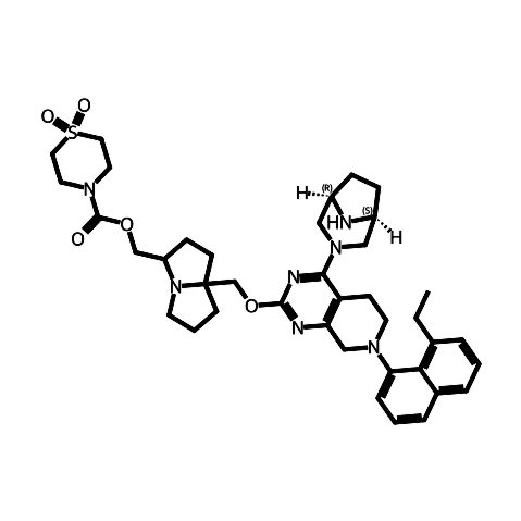 CCc1cccc2cccc(N3CCc4c(nc(OCC56CCCN5C(COC(=O)N5CCS(=O)(=O)CC5)CC6)nc4N4C[C@H]5CC[C@@H](C4)N5)C3)c12